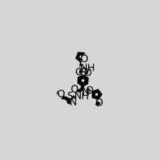 COCc1cnc(NC(=O)/C(=N/O[C@@H]2CC[C@@H](OC)C2)c2ccc(S(=O)(=O)NC[C@H]3CCCO3)cc2)s1